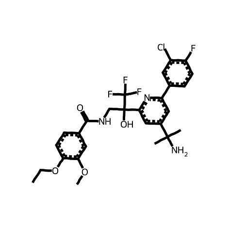 CCOc1ccc(C(=O)NCC(O)(c2cc(C(C)(C)N)cc(-c3ccc(F)c(Cl)c3)n2)C(F)(F)F)cc1OC